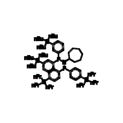 CCCC[Si](CCCC)(CCCC)c1cccc(P(c2cccc([Si](CCCC)(CCCC)CCCC)c2)N(C2CCCCCC2)P(c2ccc([Si](CCC)(CCC)CCC)cc2)c2ccc([Si](CCC)(CCC)CCC)cc2)c1